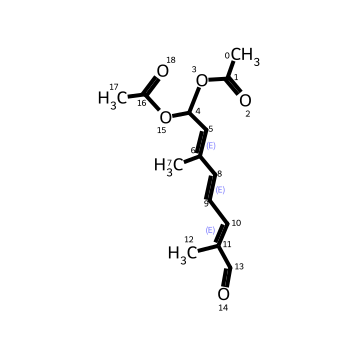 CC(=O)OC(/C=C(C)/C=C/C=C(\C)C=O)OC(C)=O